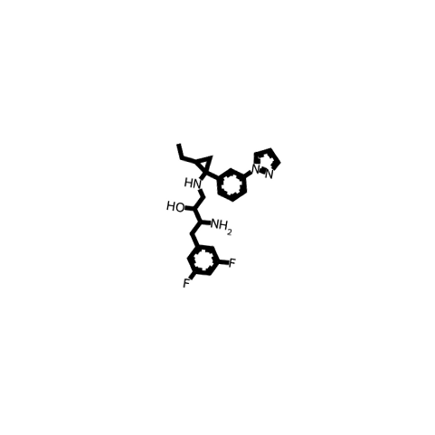 CCC1CC1(NCC(O)C(N)Cc1cc(F)cc(F)c1)c1cccc(-n2cccn2)c1